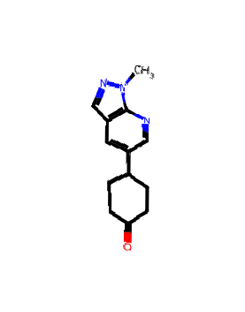 Cn1ncc2cc(C3CCC(=O)CC3)cnc21